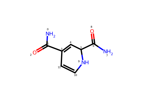 NC(=O)C1=CC(C(N)=O)NC=C1